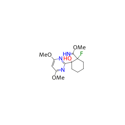 COC(=N)C1(F)CCCCC1(O)c1nc(OC)cc(OC)n1